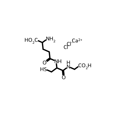 NC(CCC(=O)NC(CS)C(=O)NCC(=O)O)C(=O)O.[Ca+2].[Cl-].[Cl-]